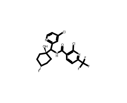 O=C(NC(c1cc(Cl)ccn1)[C@]1(O)CC[C@H](F)CC1)c1ccc(C(F)(F)F)nc1Cl